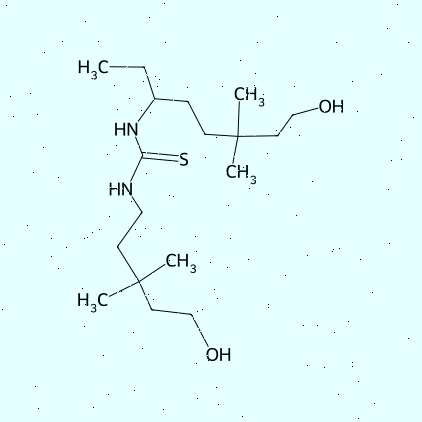 CCC(CCC(C)(C)CCO)NC(=S)NCCC(C)(C)CCO